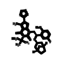 COc1ccc(F)cc1[C@H](Cn1c(=O)n(C(C)(C)C(=O)O)c(=O)c2c(C)c(-c3ncsn3)sc21)O[C@@H]1C[C@H]2CC[C@@H](C1)O2